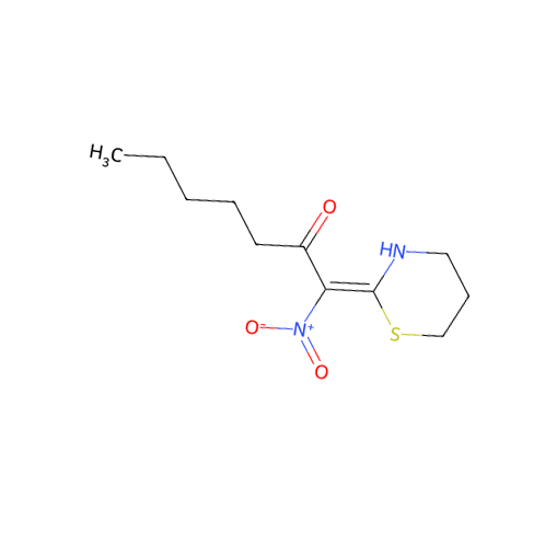 CCCCCC(=O)C(=C1NCCCS1)[N+](=O)[O-]